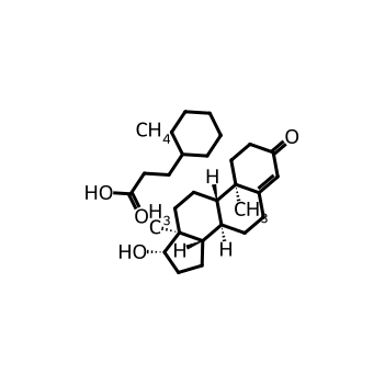 C.C[C@]12CC[C@H]3[C@@H](CCC4=CC(=O)CC[C@@]43C)[C@@H]1CC[C@@H]2O.O=C(O)CCC1CCCCC1